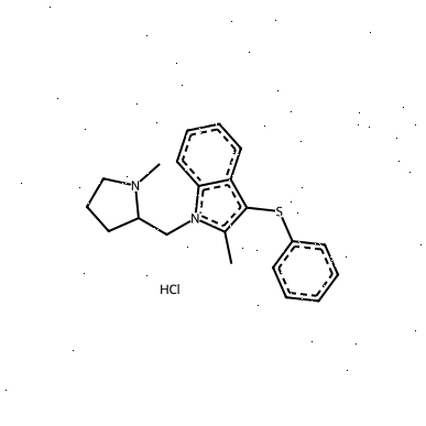 Cc1c(Sc2ccccc2)c2ccccc2n1CC1CCCN1C.Cl